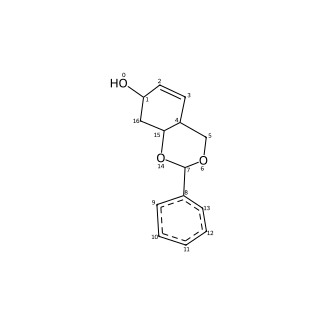 OC1C=CC2COC(c3ccccc3)OC2C1